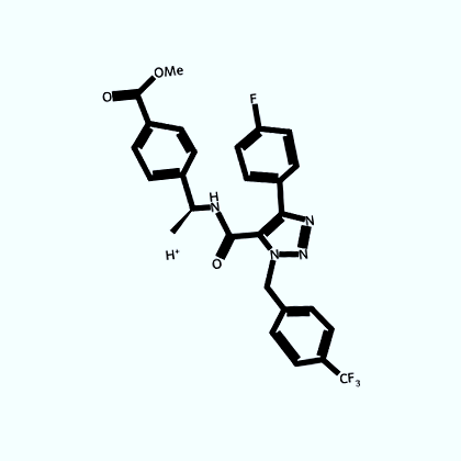 COC(=O)c1ccc([C@H](C)NC(=O)c2c(-c3ccc(F)cc3)nnn2Cc2ccc(C(F)(F)F)cc2)cc1.[H+]